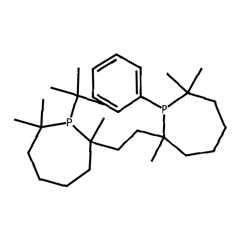 CC(C)(C)P1C(C)(C)CCCCC1(C)CCC1(C)CCCCC(C)(C)P1c1ccccc1